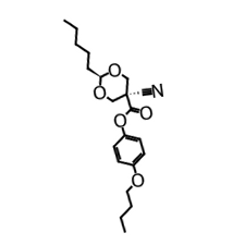 CCCCC[C@H]1OC[C@@](C#N)(C(=O)Oc2ccc(OCCCC)cc2)CO1